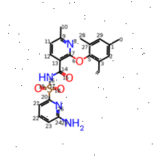 Cc1cc(C)c(Oc2nc(C)ccc2C(=O)NS(=O)(=O)c2cccc(N)n2)c(C)c1